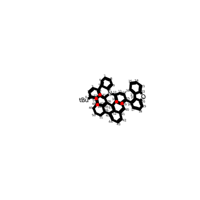 CC(C)(C)c1ccc(-c2ccccc2N(c2ccc(-c3cccc4oc5ccccc5c34)cc2)c2ccccc2-c2cccc3cccc(C4CCCCC4)c23)cc1